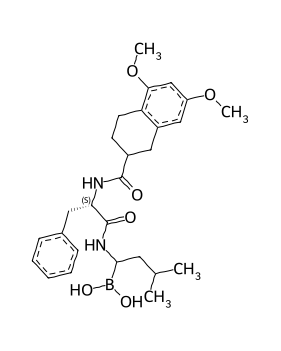 COc1cc2c(c(OC)c1)CCC(C(=O)N[C@@H](Cc1ccccc1)C(=O)NC(CC(C)C)B(O)O)C2